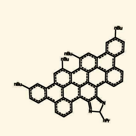 CCCCc1ccc2c(c1)c1cc(CCCC)c3c4c(CCCC)cc5c6cc(CCCC)ccc6c6cccc7c8c9c(c%10c%11cccc2c%11c1c3c%10c8c4c5c67)=NC(CCC)N=9